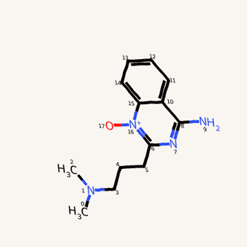 CN(C)CCCc1nc(N)c2ccccc2[n+]1[O-]